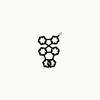 Clc1ccc2c(c1)-c1ccccc1C21c2cccc(-c3ccccc3)c2-c2c(-c3ccccc3)cccc21